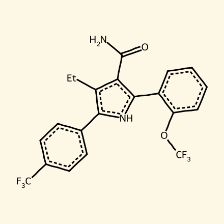 CCc1c(-c2ccc(C(F)(F)F)cc2)[nH]c(-c2ccccc2OC(F)(F)F)c1C(N)=O